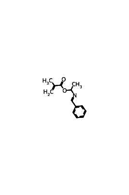 C=C(C)C(=O)OC(C)N=Cc1ccccc1